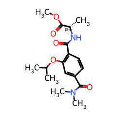 COC(=O)[C@H](C)NC(=O)c1ccc(C(=O)N(C)C)cc1OC(C)C